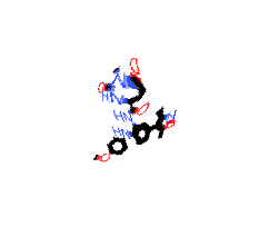 CO[C@H]1CC[C@H](Nc2ccc(-c3c(C)noc3C)cc2NC(=O)[C@@H]2CC(=O)N(C)C(=O)N2)CC1